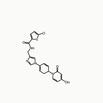 O=C(NCc1cn(C2=CCC(n3ccc(O)cc3=O)C=C2)cn1)c1ccc(Cl)s1